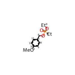 CCOP(=O)(CC)OCc1ccc(OC)cc1